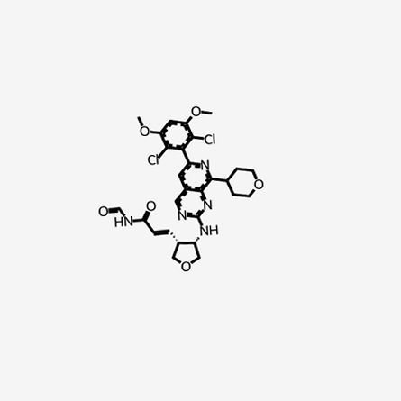 COc1cc(OC)c(Cl)c(-c2cc3cnc(N[C@@H]4COC[C@@H]4C=CC(=O)NC=O)nc3c(C3CCOCC3)n2)c1Cl